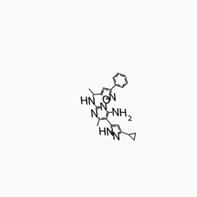 Cc1nc(NC(C)c2cc(-c3ccccc3)no2)nc(N)c1-c1cc(C2CC2)n[nH]1